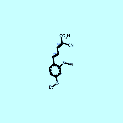 CCSc1ccc(/C=C/C=C(\C#N)C(=O)O)c(SCC)c1